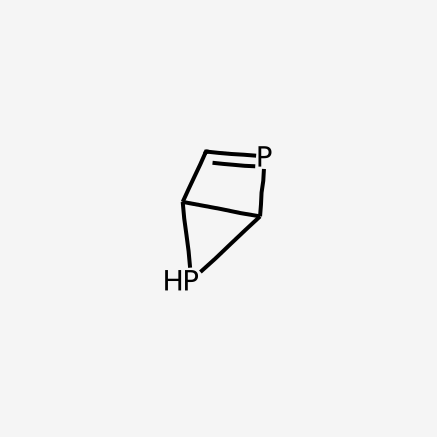 C1=PC2PC12